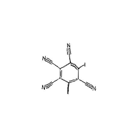 N#Cc1c(I)c(C#N)c(C#N)c(C#N)c1I